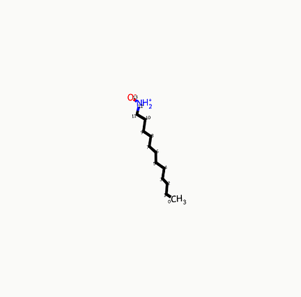 CCCCCCCCCCCC[NH2+][O-]